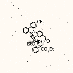 CCOC(=O)C(COC(=O)Cc1ccc(NC(=O)c2ccccc2-c2ccc(C(F)(F)F)cc2)c(C(=O)N(C(C)C)C(C)C)c1)(C(=O)OCC)c1ccccc1